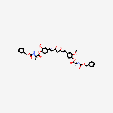 COc1cc(/C=C/C(=O)CC(=O)/C=C/c2ccc(OC(=O)[C@@H](C)NC(=O)OCc3ccccc3)c(OC)c2)ccc1OC(=O)[C@@H](C)NC(=O)OCc1ccccc1